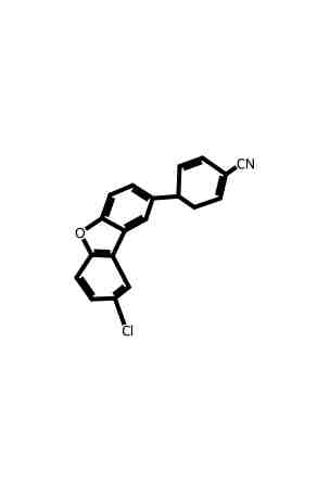 N#CC1=CCC(c2ccc3oc4ccc(Cl)cc4c3c2)C=C1